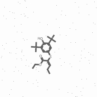 CCC=C(Sc1cc(C(C)(C)C)c(O)c(C(C)(C)C)c1)C(=O)OCC